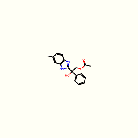 CC(=O)OCC(O)(c1ccccc1)c1nc2ccc(C)cc2[nH]1